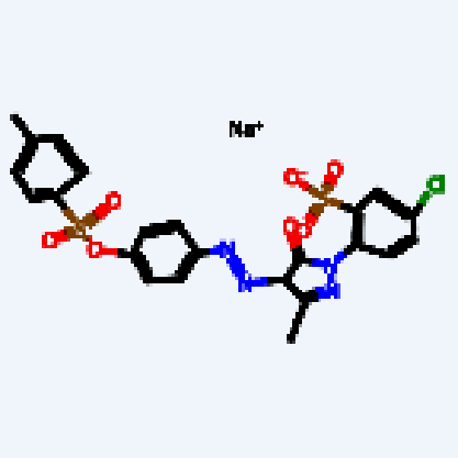 CC1=NN(c2ccc(Cl)cc2S(=O)(=O)[O-])C(=O)C1N=Nc1ccc(OS(=O)(=O)c2ccc(C)cc2)cc1.[Na+]